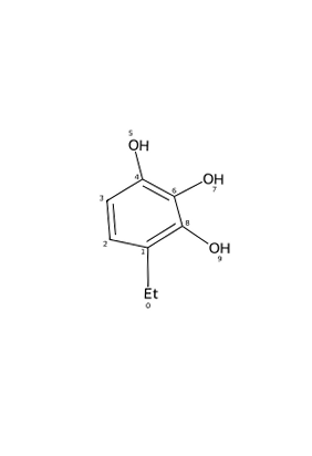 [CH2]Cc1ccc(O)c(O)c1O